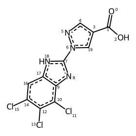 O=C(O)c1cnn(-c2nc3c(Cl)c(Cl)c(Cl)cc3[nH]2)c1